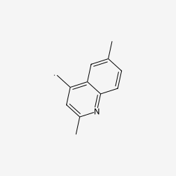 [CH2]c1cc(C)nc2ccc(C)cc12